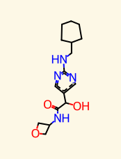 O=C(NC1COC1)C(O)c1cnc(NCC2CCCCC2)nc1